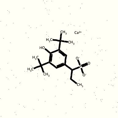 CCC(c1cc(C(C)(C)C)c(O)c(C(C)(C)C)c1)P(=O)([O-])[O-].[Ca+2]